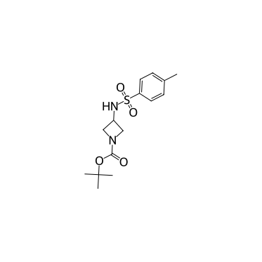 Cc1ccc(S(=O)(=O)NC2CN(C(=O)OC(C)(C)C)C2)cc1